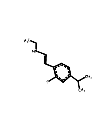 CCNC=Cc1ccc(C(C)C)cc1F